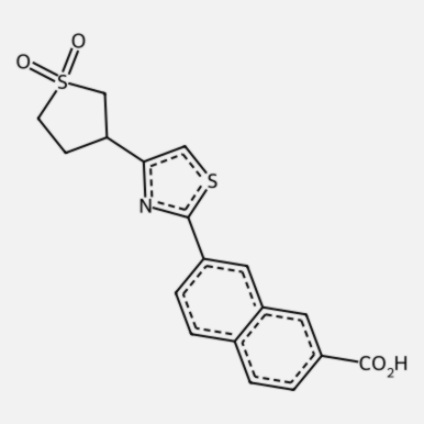 O=C(O)c1ccc2ccc(-c3nc(C4CCS(=O)(=O)C4)cs3)cc2c1